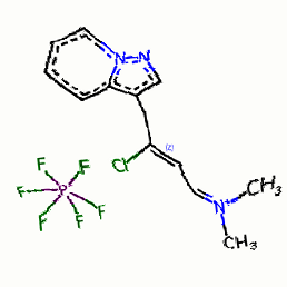 C[N+](C)=C/C=C(\Cl)c1cnn2ccccc12.F[P-](F)(F)(F)(F)F